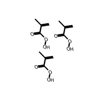 C=C(C)C(=O)OO.C=C(C)C(=O)OO.C=C(C)C(=O)OO